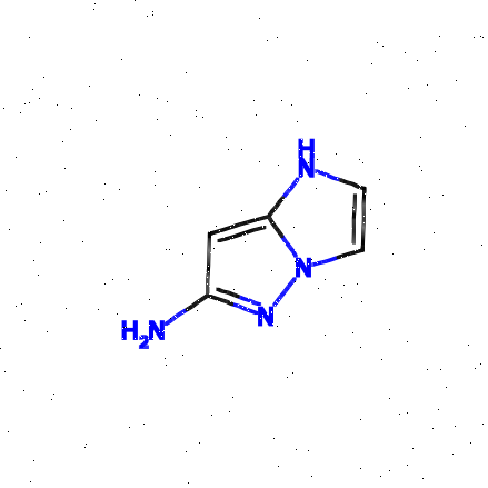 Nc1cc2[nH]ccn2n1